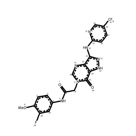 COc1ccc(NC(=O)Cn2cnc3c(Nc4ccc(C(F)(F)F)cn4)n[nH]c3c2=O)cc1F